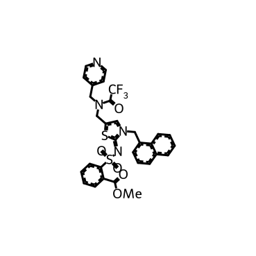 COC(=O)c1ccccc1S(=O)(=O)N=c1sc(CN(Cc2ccncc2)C(=O)C(F)(F)F)cn1Cc1cccc2ccccc12